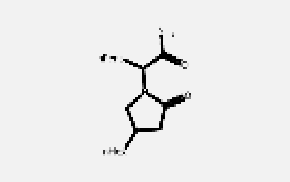 CCCCCCC1CC(=O)N(C(CCCCC)C(N)=O)C1